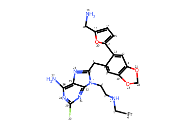 CC(C)CNCCn1c(Cc2cc3c(cc2-c2ccc(CN)o2)OCO3)nc2c(N)nc(F)nc21